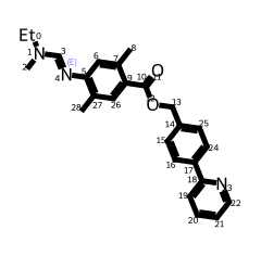 CCN(C)/C=N/c1cc(C)c(C(=O)OCc2ccc(-c3ccccn3)cc2)cc1C